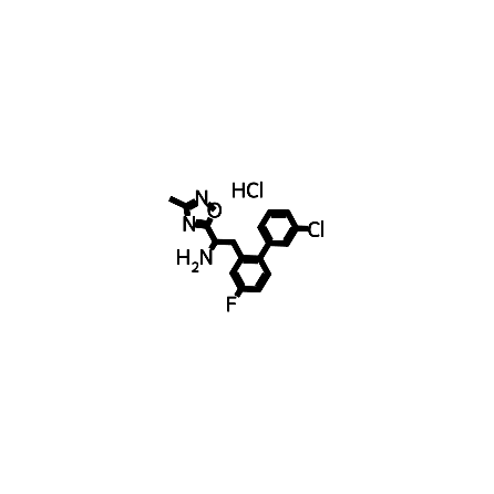 Cc1noc(C(N)Cc2cc(F)ccc2-c2cccc(Cl)c2)n1.Cl